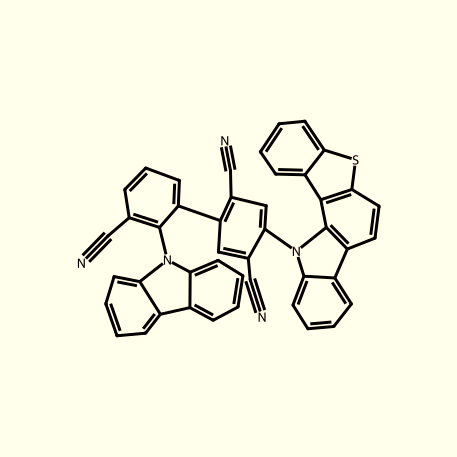 N#Cc1cc(-n2c3ccccc3c3ccc4sc5ccccc5c4c32)c(C#N)cc1-c1cccc(C#N)c1-n1c2ccccc2c2ccccc21